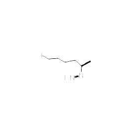 C=C(CCCCI)N=N